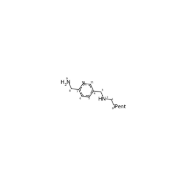 CCCC(C)CNCc1ccc(CN)cc1